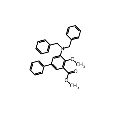 COC(=O)c1cc(-c2ccccc2)cc(N(Cc2ccccc2)Cc2ccccc2)c1OC